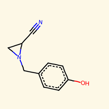 N#CC1CN1Cc1ccc(O)cc1